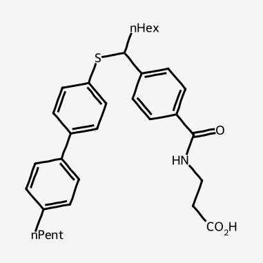 CCCCCCC(Sc1ccc(-c2ccc(CCCCC)cc2)cc1)c1ccc(C(=O)NCCC(=O)O)cc1